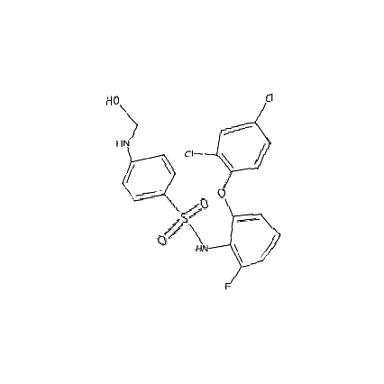 O=S(=O)(Nc1c(F)cccc1Oc1ccc(Cl)cc1Cl)c1ccc(NCO)cc1